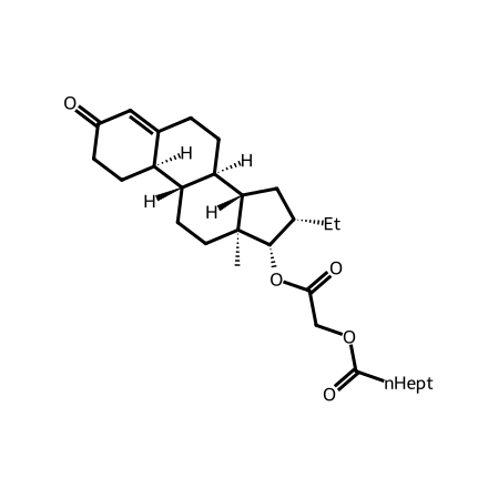 CCCCCCCC(=O)OCC(=O)O[C@H]1[C@@H](CC)C[C@H]2[C@@H]3CCC4=CC(=O)CC[C@@H]4[C@H]3CC[C@@]21C